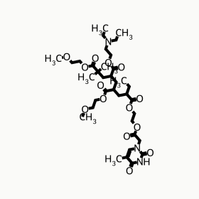 CCC(CC(CC(CC(C)(C)C(=O)OCCOC)C(=O)OCCN(CC)CC)C(=O)OCCOC)C(=O)OCCOC(=O)Cn1cc(C)c(=O)[nH]c1=O